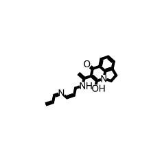 C=C/C=N\C=C/CNC(=C)c1c(O)n2c3c(cccc3c1=O)CC2